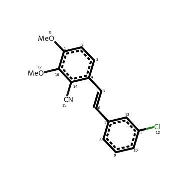 COc1ccc(C=Cc2cccc(Cl)c2)c(C#N)c1OC